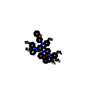 Cc1cc(C)c2c(c1)N(c1ccc3c(c1)N(c1cccc4c1oc1ccccc14)c1cc(N4c5ccc(C(C)(C)C)cc5C5(C)CCCCC45C)cc4c1B3c1ccc(C(C)(C)C)cc1N4c1ccc3c(c1)sc1ccccc13)C1(C)CCCCC21C